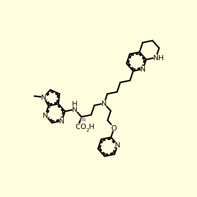 Cn1ccc2c(N[C@@H](CCN(CCCCc3ccc4c(n3)NCCC4)CCOc3ccccn3)C(=O)O)ncnc21